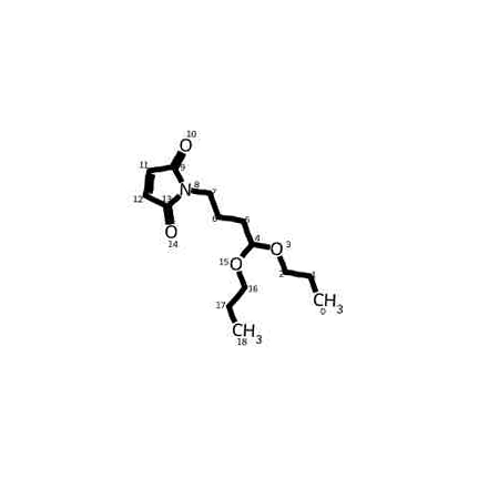 CCCOC(CCCN1C(=O)C=CC1=O)OCCC